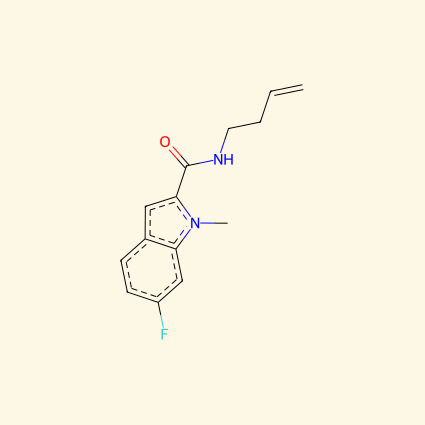 C=CCCNC(=O)c1cc2ccc(F)cc2n1C